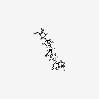 Cc1cc(N2CCc3c(c(C)nn3CC34CCC(N5C[C@H](O)[C@@H](O)C5)(CC3)CC4)C2)c2cnn(C)c2n1